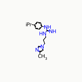 Cc1cn(CCCNC(=N)Nc2ccc(C(C)C)cc2)cn1